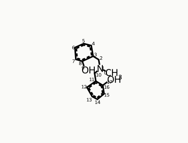 CN(Cc1ccccc1O)Cc1ccccc1O